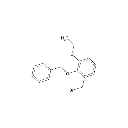 CCOc1cccc(CBr)c1OCc1ccccc1